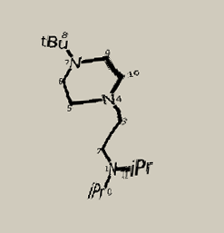 CC(C)N(CCN1CCN(C(C)(C)C)CC1)C(C)C